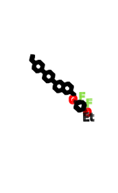 C=CC1CCC(C2CCC(C3CCC4CC(COc5ccc(OCC)c(F)c5F)CCC4C3)CC2)CC1